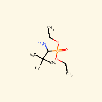 CCOP(=O)(OCC)C(N)C(C)(C)C